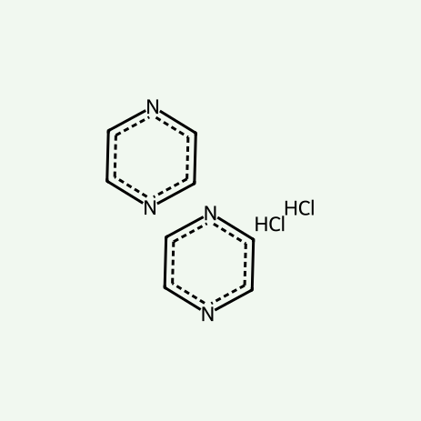 Cl.Cl.c1cnccn1.c1cnccn1